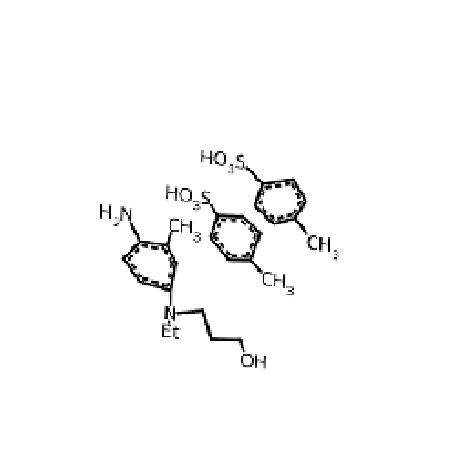 CCN(CCCO)c1ccc(N)c(C)c1.Cc1ccc(S(=O)(=O)O)cc1.Cc1ccc(S(=O)(=O)O)cc1